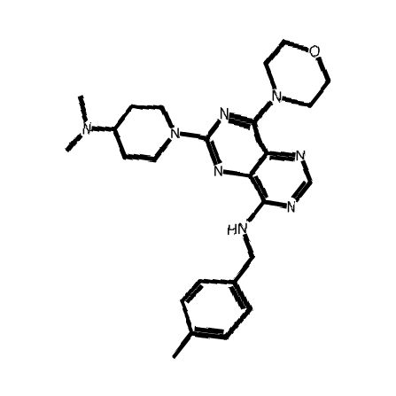 Cc1ccc(CNc2ncnc3c(N4CCOCC4)nc(N4CCC(N(C)C)CC4)nc23)cc1